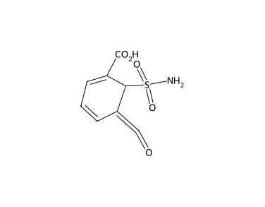 NS(=O)(=O)C1C(=C=O)C=CC=C1C(=O)O